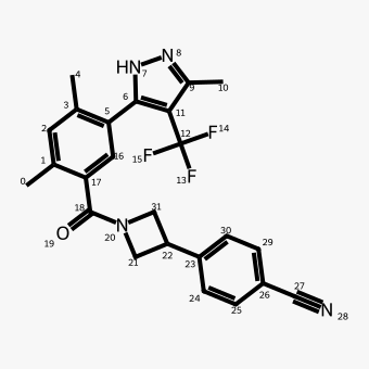 Cc1cc(C)c(-c2[nH]nc(C)c2C(F)(F)F)cc1C(=O)N1CC(c2ccc(C#N)cc2)C1